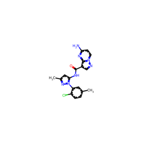 Cc1ccc(Cl)c(-n2nc(C)cc2NC(=O)c2cnn3ccc(N)nc23)c1